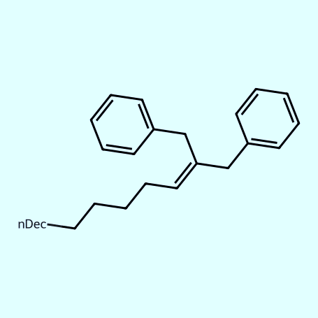 CCCCCCCCCCCCCCC=C(Cc1ccccc1)Cc1ccccc1